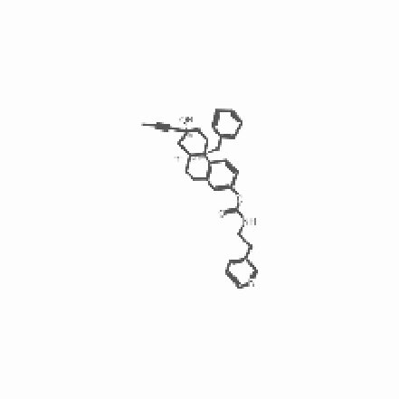 CC#C[C@@]1(O)CC[C@]2(Cc3ccccc3)c3ccc(OC(=O)NCCc4cccnc4)cc3CC[C@H]2C1